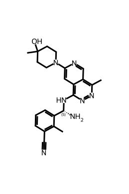 Cc1c(C#N)cccc1[C@@H](N)Nc1nnc(C)c2cnc(N3CCC(C)(O)CC3)cc12